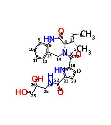 CC[C@H](C)[C@H]1C(=O)Nc2ccccc2CN1C(=O)c1ccc(C(=O)NCC(O)CO)[nH]1